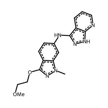 COCCOc1nn(C)c2cc(Nc3n[nH]c4ncccc34)ccc12